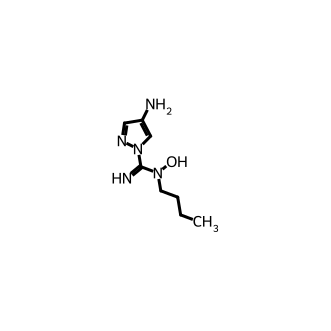 CCCCN(O)C(=N)n1cc(N)cn1